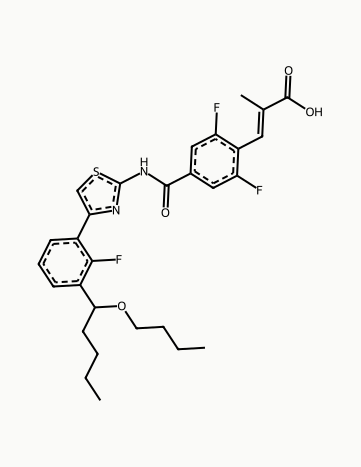 CCCCOC(CCCC)c1cccc(-c2csc(NC(=O)c3cc(F)c(/C=C(\C)C(=O)O)c(F)c3)n2)c1F